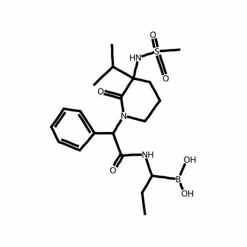 CCC(NC(=O)C(c1ccccc1)N1CCCC(NS(C)(=O)=O)(C(C)C)C1=O)B(O)O